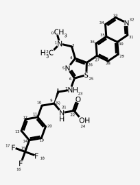 CN(C)Cc1nc(NC[C@H](Cc2ccc(C(F)(F)F)cc2)NC(=O)O)sc1-c1ccc2cnccc2c1